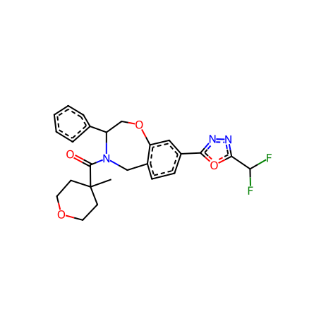 CC1(C(=O)N2Cc3ccc(-c4nnc(C(F)F)o4)cc3OCC2c2ccccc2)CCOCC1